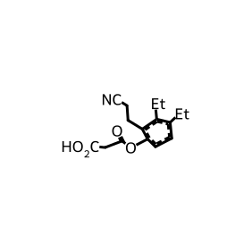 CCc1ccc(OC(=O)CC(=O)O)c(CCC#N)c1CC